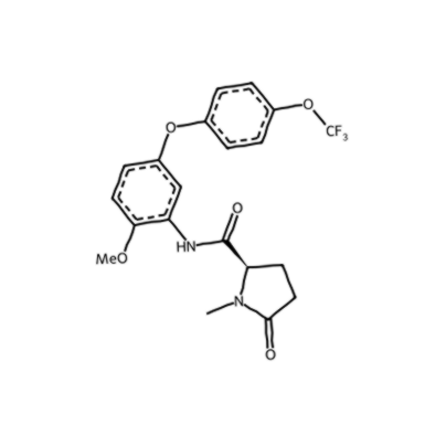 COc1ccc(Oc2ccc(OC(F)(F)F)cc2)cc1NC(=O)[C@H]1CCC(=O)N1C